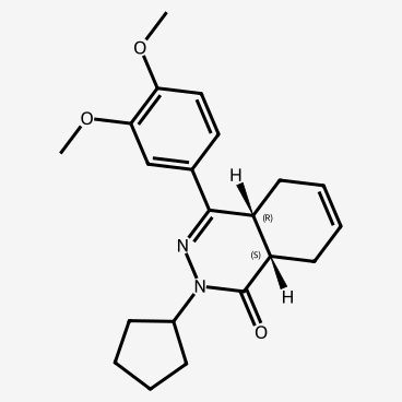 COc1ccc(C2=NN(C3CCCC3)C(=O)[C@H]3CC=CC[C@@H]23)cc1OC